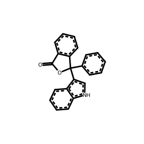 O=C1OC(c2ccccc2)(c2c[nH]c3ccccc23)c2ccccc21